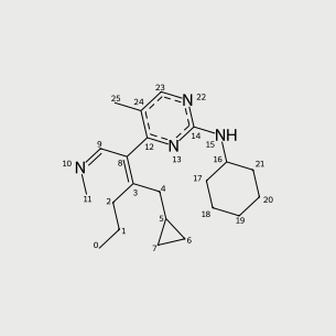 CCC/C(CC1CC1)=C(\C=N/C)c1nc(NC2CCCCC2)ncc1C